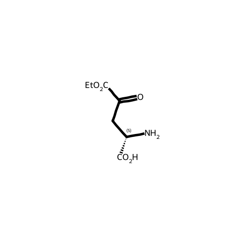 CCOC(=O)C(=O)C[C@H](N)C(=O)O